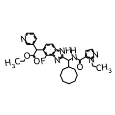 CCOC(=O)C(c1cccnc1)c1ccc2[nH]c(C(NC(=O)c3ccnn3CC)C3CCCCCCC3)nc2c1F